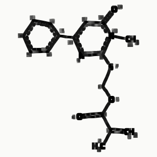 C=C(C)C(=O)OCSc1nc(-c2ccccc2)cc(=O)n1C